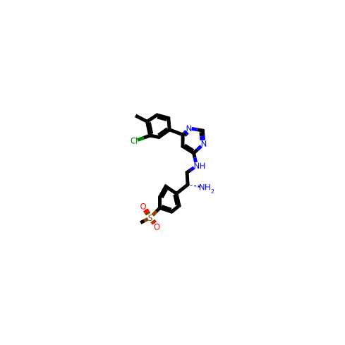 Cc1ccc(-c2cc(NC[C@H](N)c3ccc(S(C)(=O)=O)cc3)ncn2)cc1Cl